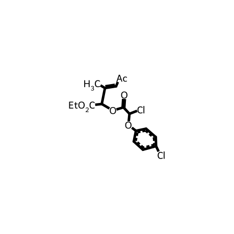 CCOC(=O)C(OC(=O)C(Cl)Oc1ccc(Cl)cc1)C(C)=CC(C)=O